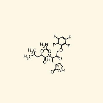 CC(C)CC(OC(N)=O)C(=O)NC(C[C@@H]1CCNC1=O)C(=O)COc1c(F)c(F)cc(F)c1F